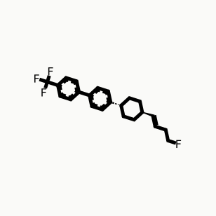 FCC/C=C/[C@H]1CC[C@H](c2ccc(-c3ccc(C(F)(F)F)cc3)cc2)CC1